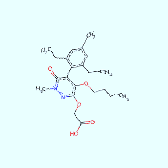 CCCCOc1c(OCC(=O)O)nn(C)c(=O)c1-c1c(CC)cc(C)cc1CC